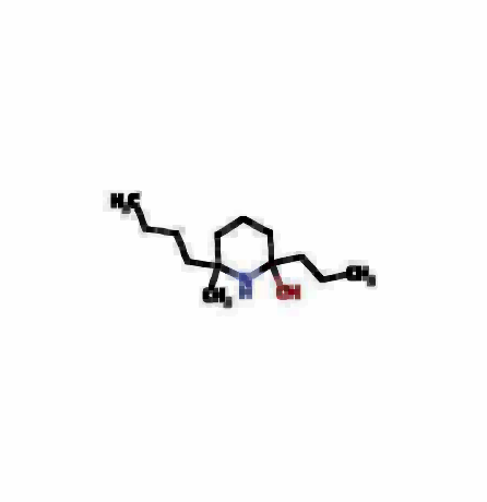 CCCCC1(C)CCCC(O)(CCC)N1